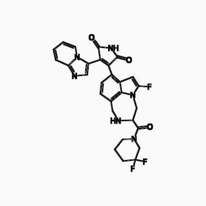 O=C1NC(=O)C(c2cnc3ccccn23)=C1c1ccc2c3c1cc(F)n3CC(C(=O)N1CCCC(F)(F)C1)NC2